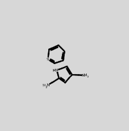 Nc1c[nH]c(N)c1.c1ccncc1